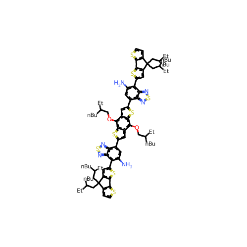 CCCCC(CC)COc1c2cc(-c3cc(N)c(-c4cc5c(s4)-c4sccc4C5(CC(CC)CCCC)CC(CC)CCCC)c4nsnc34)sc2c(OCC(CC)CCCC)c2cc(-c3cc(N)c(-c4cc5c(s4)-c4sccc4C5(CC(CC)CCCC)CC(CC)CCCC)c4nsnc34)sc12